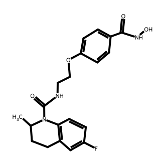 CC1CCc2cc(F)ccc2N1C(=O)NCCOc1ccc(C(=O)NO)cc1